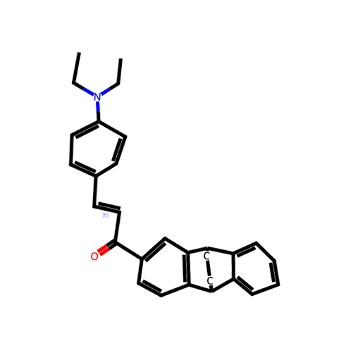 CCN(CC)c1ccc(/C=C/C(=O)c2ccc3c(c2)C2CCC3c3ccccc32)cc1